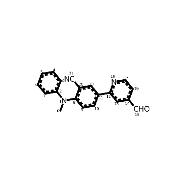 CN(c1ccccc1)c1ccc(-c2cc(C=O)ccn2)cc1C#N